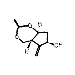 C=C1[C@H](O)C[C@@H]2OC(C)OC[C@@H]12